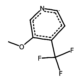 COc1cn[c]cc1C(F)(F)F